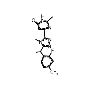 Cc1nc(-c2nnc([C@H](C)c3ccc(C(F)(F)F)cc3F)n2C)cc(=O)[nH]1